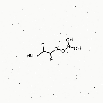 OB(O)OOC(F)C(F)F.[LiH]